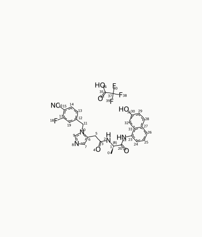 C[C@@H](NC(=O)Cc1cncn1Cc1ccc(C#N)c(F)c1)C(=O)Nc1cccc2ccc(O)cc12.O=C(O)C(F)(F)F